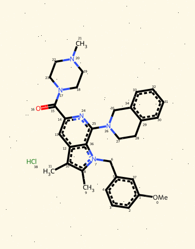 COc1cccc(Cn2c(C)c(C)c3cc(C(=O)N4CCN(C)CC4)nc(N4CCc5ccccc5C4)c32)c1.Cl